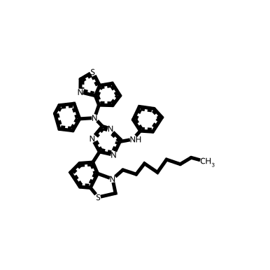 CCCCCCCCN1CSc2cccc(-c3nc(Nc4ccccc4)nc(N(c4ccccc4)c4cccc5scnc45)n3)c21